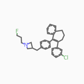 FCCCN1CC(Cc2ccc(C3=C(c4cccc(Cl)c4)CCCc4ccccc43)cc2)C1